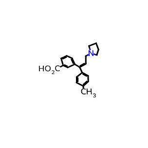 Cc1ccc(C(=CCN2CCCC2)c2cccc(C(=O)O)c2)cc1